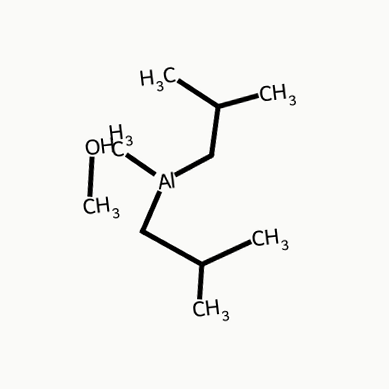 CC(C)[CH2][Al]([CH3])[CH2]C(C)C.CO